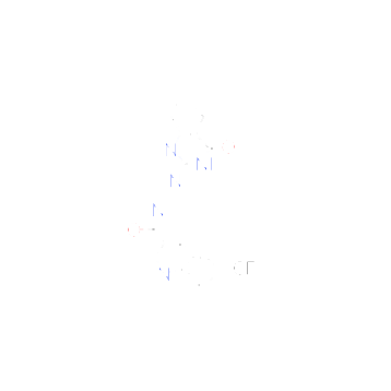 O=C(c1cnc2ccc(C(F)(F)F)cc2c1)N1CCN(c2nc3ccccc3c(=O)[nH]2)CC1